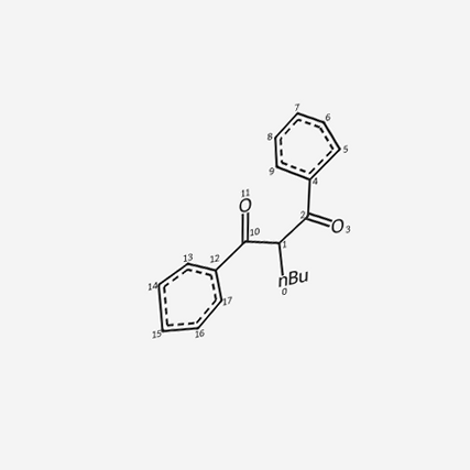 CCCCC(C(=O)c1ccccc1)C(=O)c1ccccc1